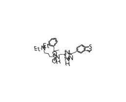 CCN(CC)CCCS(=O)(=O)N[C@H](CCc1ccccc1)c1nc(-c2ccc3sccc3c2)n[nH]1